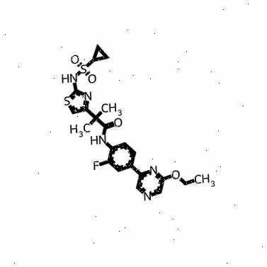 CCOc1cncc(-c2ccc(NC(=O)C(C)(C)c3csc(NS(=O)(=O)C4CC4)n3)c(F)c2)n1